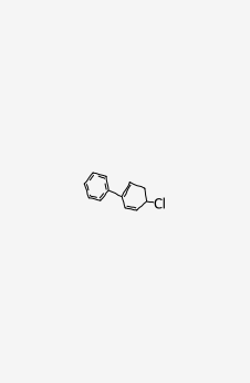 ClC1C=CC(c2ccccc2)=CC1